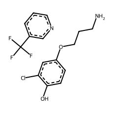 FC(F)(F)c1cccnc1.NCCCOc1ccc(O)c(Cl)c1